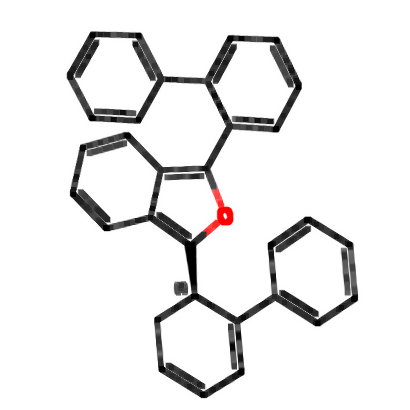 C1=CC[C@@H](c2oc(-c3ccccc3-c3ccccc3)c3ccccc23)C(c2ccccc2)=C1